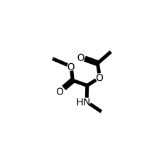 CNC(OC(C)=O)C(=O)OC